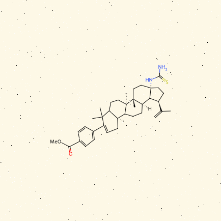 C=C(C)[C@@H]1CC[C@]2(NC(N)=S)CC[C@]3(C)[C@H](CCC4[C@@]5(C)CC=C(c6ccc(C(=O)OC)cc6)C(C)(C)C5CC[C@]43C)C12